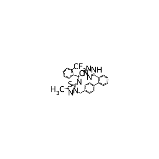 Cc1nn(Cc2ccc(-c3ccccc3-c3nnn[nH]3)cc2)c(=NC(=O)c2ccccc2C(F)(F)F)s1